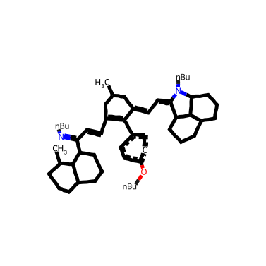 CCCC/N=C(\C=C\C1=C(c2ccc(OCCCC)cc2)C(=C/C=C2\C3CCCC4CCCC(C43)N2CCCC)/CC(C)C1)C1CCCC2CCCC(C)C21